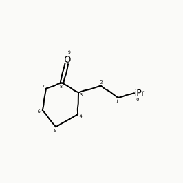 CC(C)CCC1CCCCC1=O